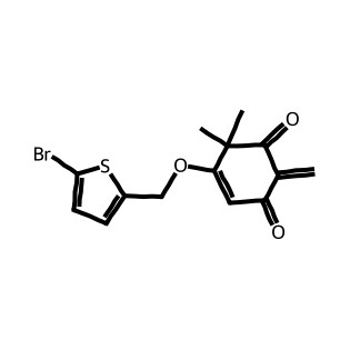 C=C1C(=O)C=C(OCc2ccc(Br)s2)C(C)(C)C1=O